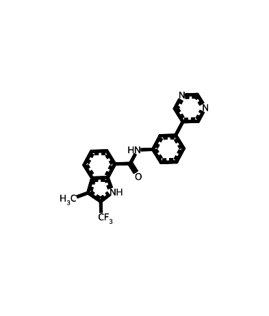 Cc1c(C(F)(F)F)[nH]c2c(C(=O)Nc3cccc(-c4cncnc4)c3)cccc12